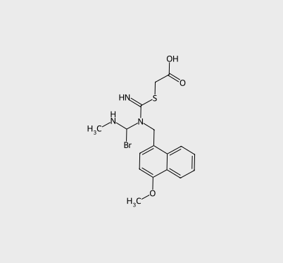 CNC(Br)N(Cc1ccc(OC)c2ccccc12)C(=N)SCC(=O)O